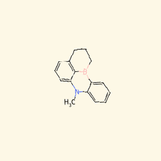 CN1c2ccccc2B2CCCc3cccc1c32